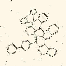 B1c2cccc3c2N(c2ccccc2C32c3ccccc3-c3ccccc32)c2c1c(-c1c(Nc3ccc(-c4ccccc4)cc3)ccc3ccccc13)cc1ccccc21